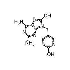 Nc1nc(N)c2nc(O)n(Cc3ccc(O)nc3)c2n1